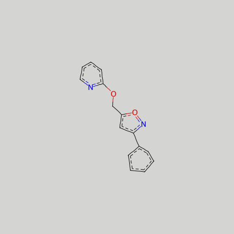 c1ccc(-c2cc(COc3ccccn3)on2)cc1